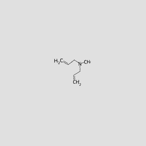 [CH]N(CC=C)CC=C